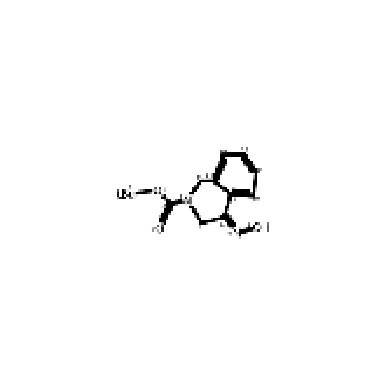 CC(C)(C)OC(=O)N1C/C(=N/O)c2ccccc2C1